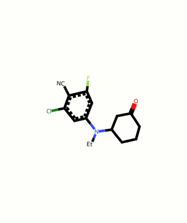 CCN(c1cc(F)c(C#N)c(Cl)c1)C1CCCC(=O)C1